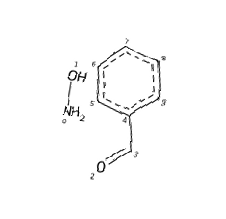 NO.O=Cc1ccccc1